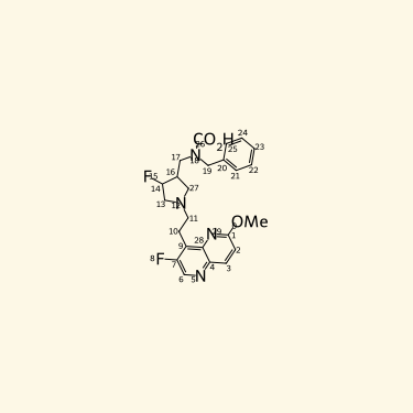 COc1ccc2ncc(F)c(CCN3CC(F)C(CN(Cc4ccccc4)C(=O)O)C3)c2n1